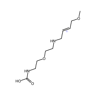 COC/C=C/CNCCOCCNC(=O)O